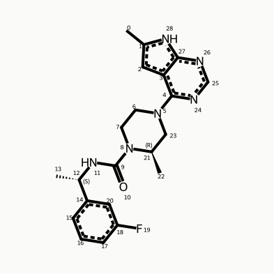 Cc1cc2c(N3CCN(C(=O)N[C@@H](C)c4cccc(F)c4)[C@H](C)C3)ncnc2[nH]1